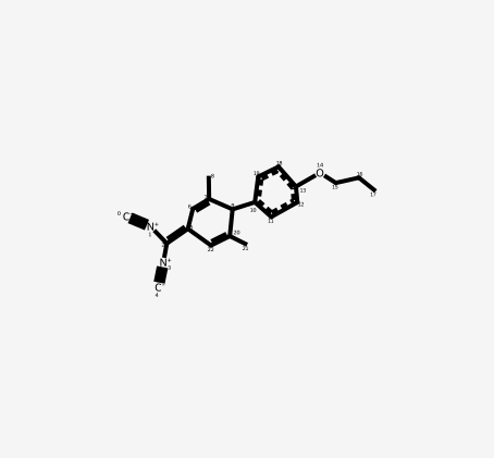 [C-]#[N+]C([N+]#[C-])=C1C=C(C)C(c2ccc(OCCC)cc2)C(C)=C1